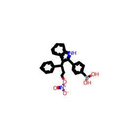 O=[N+]([O-])OCCC(c1ccccc1)c1c(-c2ccc(B(O)O)cc2)[nH]c2ccccc12